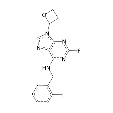 Fc1nc(NCc2ccccc2I)c2ncn(C3CCO3)c2n1